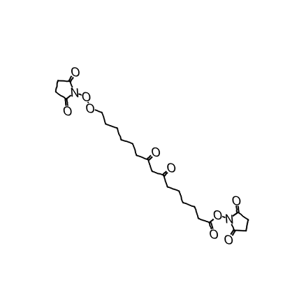 O=C(CCCCCCOON1C(=O)CCC1=O)CC(=O)CCCCCC(=O)ON1C(=O)CCC1=O